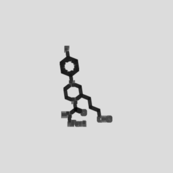 CCCCCNC(=O)N1CCN(c2ccc(F)cc2)CC1CCCC=O